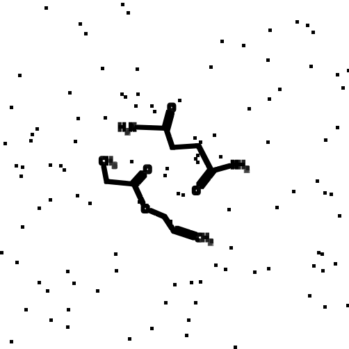 C=CCOC(=O)CC.NC(=O)CCC(N)=O